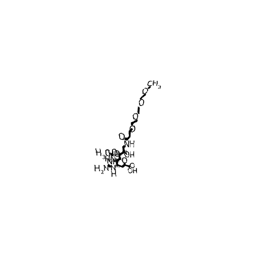 CCOCCOCCOCCOCCC(=O)NC[C@@H](O)[C@@H](O)[C@@H]1OC(C(=O)O)=C[C@H](NC(=N)N)[C@H]1NC(C)=O